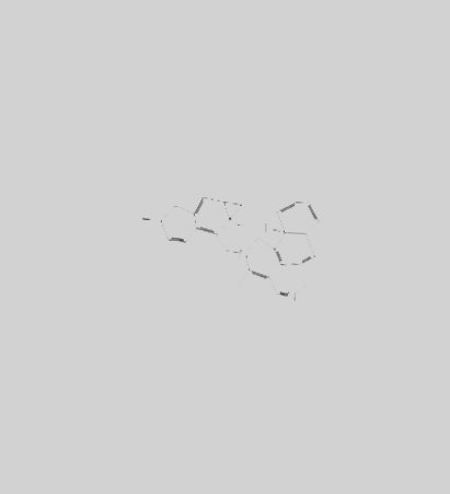 C/N=C\C=C(/C)N(CC1=CC=CC2C=CC=C[C@@H]12)CC1=C2C=C[C@@H](C)CC2=CC2C[C@H]12